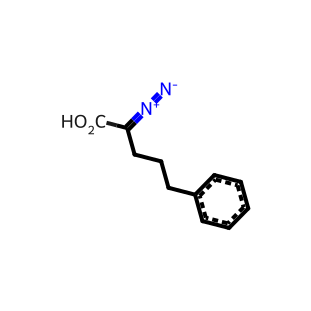 [N-]=[N+]=C(CCCc1ccccc1)C(=O)O